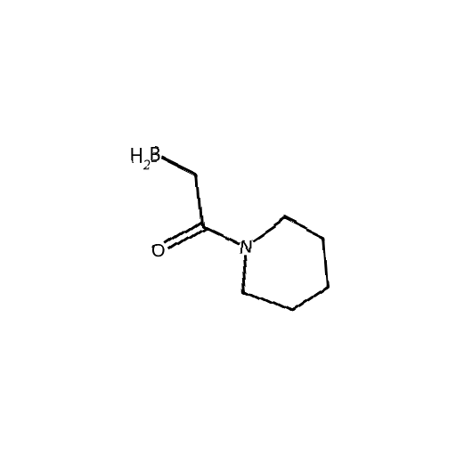 BCC(=O)N1CCCCC1